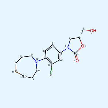 O=C1O[C@@H](CO)CN1c1ccc(N2CCCSCCC2)c(F)c1